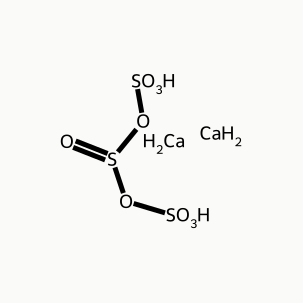 O=S(OS(=O)(=O)O)OS(=O)(=O)O.[CaH2].[CaH2]